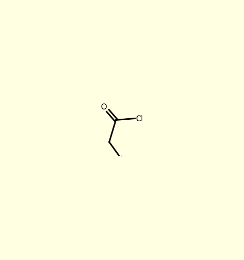 [CH2]CC(=O)Cl